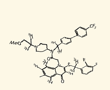 [2H]c1c(C)c([2H])c2c(=O)c([2H])c(SC([2H])([2H])c3cccc(F)c3F)n(CC(=O)N(C3CCN(C([2H])([2H])COC)CC3)C([2H])([2H])c3ccc(-c4ccc(C(F)(F)F)cc4)cc3)c2c1[2H]